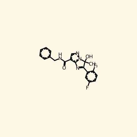 CC1(O)C(c2cc(F)ccc2F)=Nc2c(C(=O)NCc3ccccc3)cnn21